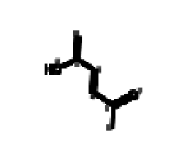 C=C(O)/C=C/C(C)=O